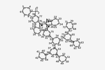 CC1(C)c2ccccc2-c2cc3c4ccccc4n(-c4nc5ccccc5n4-c4cccc(-c5cc(-c6cc(-c7ccccc7)cc(-c7ccccc7)c6)cc(-c6cc(-c7ccccc7)cc(-c7ccccc7)c6)c5)c4)c3cc21